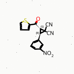 N#CC1(C#N)[C@@H](C(=O)c2cccs2)[C@@H]1c1cccc([N+](=O)[O-])c1